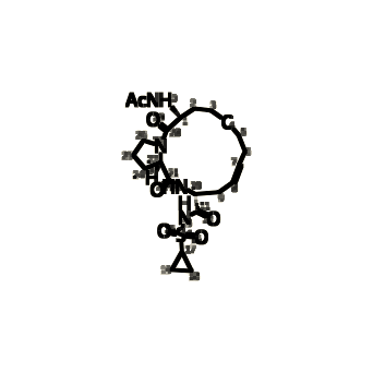 CC(=O)N[C@H]1CCCCC/C=C\C[C@H](C(=O)NS(=O)(=O)C2CC2)NC(=O)[C@@H]2CCCN2C1=O